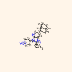 Cc1nc2cc(-c3ccc4ccccc4c3)cnc2n1C1CCNCC1